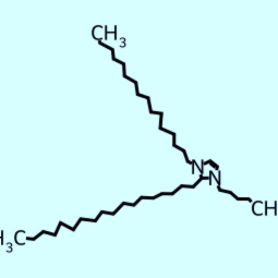 CCCCCCCCCCCCCCCCCCC1N(CCCCC)C=CN1CCCCCCCCCCCCCCCC